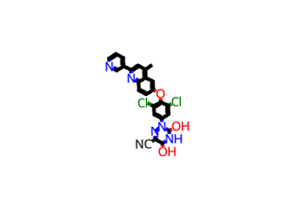 Cc1cc(-c2cccnc2)nc2ccc(Oc3c(Cl)cc(N4N=C(C#N)C(O)NC4O)cc3Cl)cc12